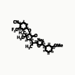 [C-]#[N+]c1ccc(OC2C(=O)N(C(C)c3nnc(-c4cccc(OC)c4)o3)CC2(C)C)cc1C(F)(F)F